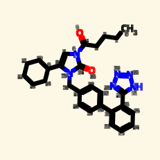 CCCCC(=O)n1cc(C2CCCCC2)n(Cc2ccc(-c3ccccc3-c3nnn[nH]3)cc2)c1=O